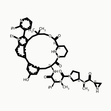 CCn1c(-c2cccnc2C(C)C)c2c3cc(ccc31)-c1cc(O)cc(c1)C[C@H](NC(=O)[C@H](C(C)C)N(C)C(=O)N1CC[C@@H](N(C)C(=O)[C@H]3CN3)C1)C(=O)N1CCC[C@H](N1)C(=O)OCC(C)(C)C2